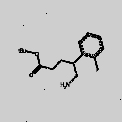 CC(C)(C)OC(=O)CCC(CN)c1ccccc1F